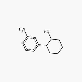 Nc1cc([C@H]2CCCCC2O)ccn1